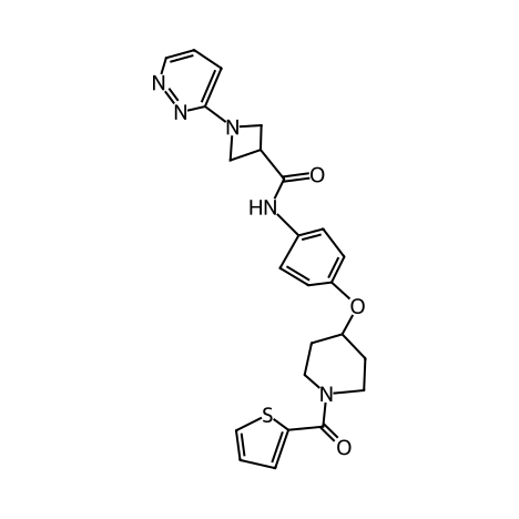 O=C(Nc1ccc(OC2CCN(C(=O)c3cccs3)CC2)cc1)C1CN(c2cccnn2)C1